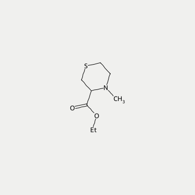 CCOC(=O)C1CSCCN1C